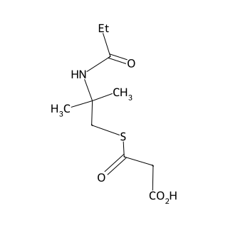 CCC(=O)NC(C)(C)CSC(=O)CC(=O)O